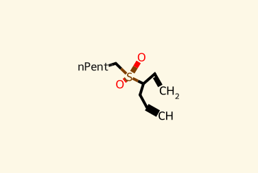 C#CCC(C=C)S(=O)(=O)CCCCCC